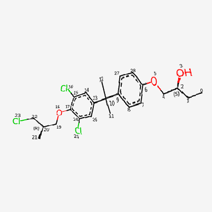 CC[C@H](O)COc1ccc(C(C)(C)c2cc(Cl)c(OC[C@@H](C)CCl)c(Cl)c2)cc1